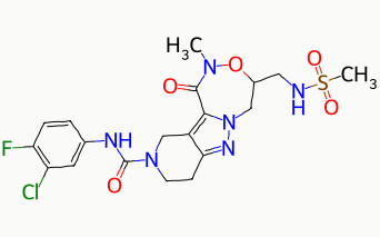 CN1OC(CNS(C)(=O)=O)Cn2nc3c(c2C1=O)CN(C(=O)Nc1ccc(F)c(Cl)c1)CC3